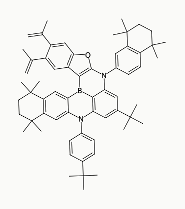 C=C(C)c1cc2oc3c(c2cc1C(=C)C)B1c2cc4c(cc2N(c2ccc(C(C)(C)C)cc2)c2cc(C(C)(C)C)cc(c21)N3c1ccc2c(c1)C(C)(C)CCC2(C)C)C(C)(C)CCC4(C)C